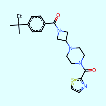 CCC(C)(C)c1ccc(C(=O)N2CC(N3CCN(C(=O)c4nccs4)CC3)C2)cc1